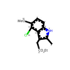 CCOC(=O)Cc1c(C)[nH]c2ccc(OC)c(Cl)c12